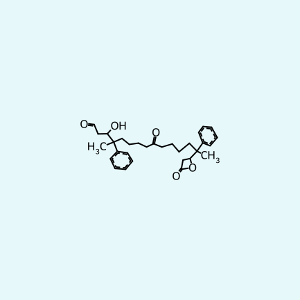 CC(CCCCC(=O)CCCCC(C)(c1ccccc1)C1CC(=O)O1)(c1ccccc1)C(O)CC=O